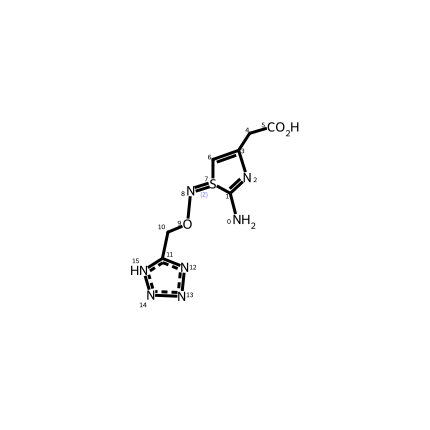 NC1=NC(CC(=O)O)=C/S1=N/OCc1nnn[nH]1